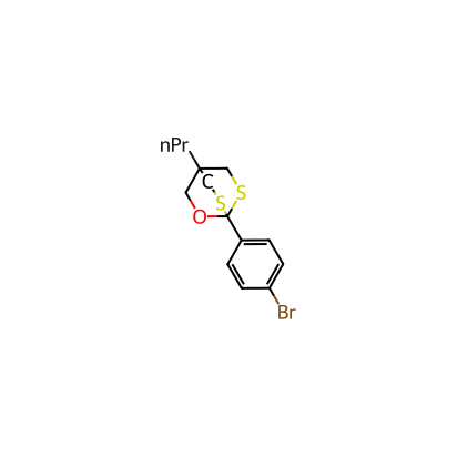 CCCC12COC(c3ccc(Br)cc3)(SC1)SC2